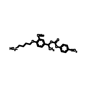 COc1cc(C(C)OC(=O)Oc2ccc([N+](=O)[O-])cc2)ccc1OCCCCC(=O)O